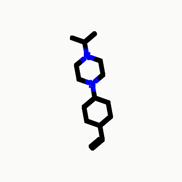 C=CC1CCC(N2CCN(C(C)C)CC2)CC1